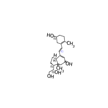 CC1=C(/C=C/C2=C[C@H](O)C[C@]3(C)[C@@H]([C@H](O)CO)CC[C@@H]23)C[C@@H](O)CC1